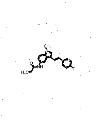 C=CC(=O)Nc1ccc2c(c1)c(/C=C/c1ccc(F)cc1)cn2C